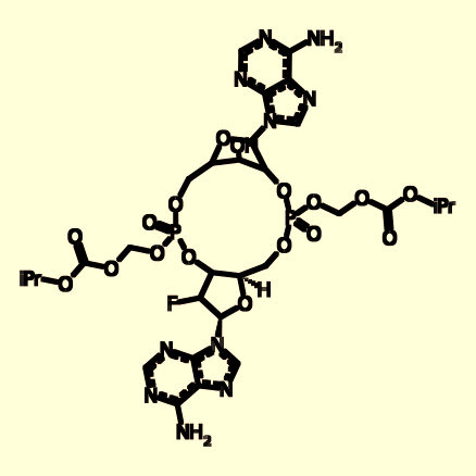 CC(C)OC(=O)OCOP1(=O)OC[C@H]2O[C@@H](n3cnc4c(N)ncnc43)C(F)C2OP(=O)(OCOC(=O)OC(C)C)OCC2OC(n3cnc4c(N)ncnc43)C(O1)C2O